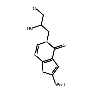 CCCCCc1cc2c(=O)n(CC(O)CCl)cnc2s1